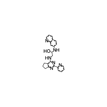 OC(CNc1nc(-c2ccccn2)nc2c1CCC2)Nc1ccc2cccnc2c1